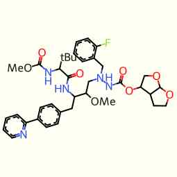 COC(=O)NC(C(=O)NC(Cc1ccc(-c2ccccn2)cc1)C(CN(Cc1ccccc1F)NC(=O)OC1COC2OCCC12)OC)C(C)(C)C